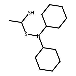 CC(S)SN(C1CCCCC1)C1CCCCC1